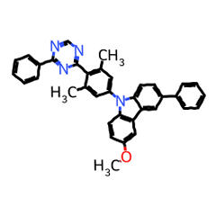 COc1ccc2c(c1)c1cc(-c3ccccc3)ccc1n2-c1cc(C)c(-c2ncnc(-c3ccccc3)n2)c(C)c1